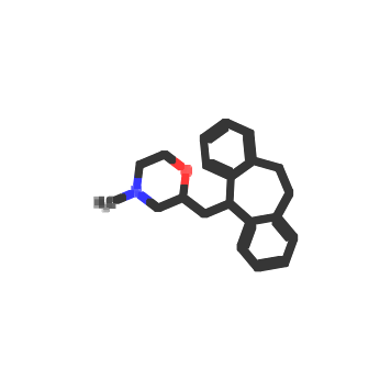 CN1CCOC(CC2c3ccccc3CCc3ccccc32)C1